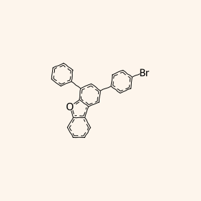 Brc1ccc(-c2cc(-c3ccccc3)c3oc4ccccc4c3c2)cc1